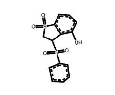 O=S1(=O)CC(S(=O)(=O)c2ccccc2)c2c(O)cccc21